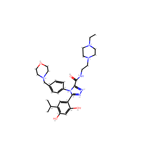 CCN1CCN(CCNC(=O)c2nnc(-c3cc(C(C)C)c(O)cc3O)n2-c2ccc(CN3CCOCC3)cc2)CC1